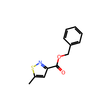 Cc1cc(C(=O)OCc2ccccc2)ns1